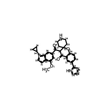 COc1cc(C(=O)C2C(=O)c3cc(-c4nnn[nH]4)ccc3OC23CCNCC3)cc2c1ccn2C1CC1